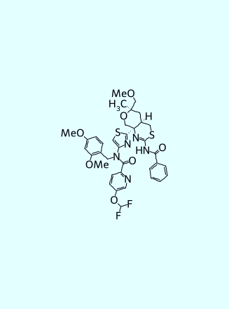 COC[C@@]1(C)C[C@H]2CSC(NC(=O)c3ccccc3)=N[C@@]2(c2nc(N(Cc3ccc(OC)cc3OC)C(=O)c3ccc(OC(F)F)cn3)cs2)CO1